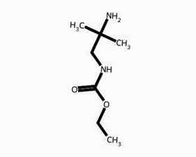 CCOC(=O)NCC(C)(C)N